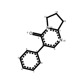 O=c1c(-c2ccccc2)cnc2n1CCC2